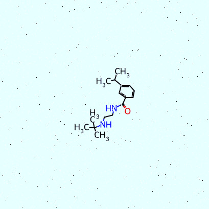 CC(C)c1cccc(C(=O)NCCNC(C)(C)C)c1